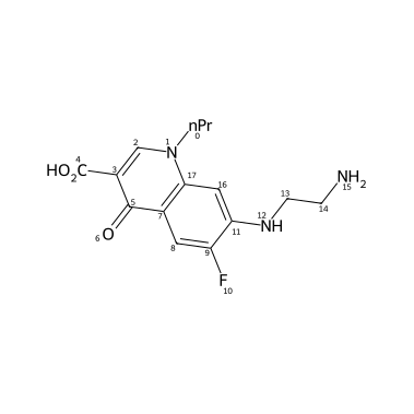 CCCn1cc(C(=O)O)c(=O)c2cc(F)c(NCCN)cc21